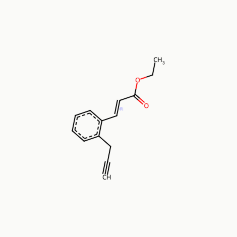 C#CCc1ccccc1/C=C/C(=O)OCC